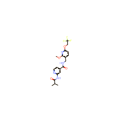 COc1nc(OCC(F)(F)F)ccc1CNC(=O)c1ccnc(NC(=O)C(C)C)c1